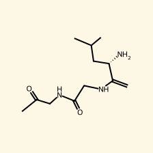 C=C(NCC(=O)NCC(C)=O)[C@@H](N)CC(C)C